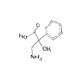 NCC(O)(C(=O)O)c1ccccc1